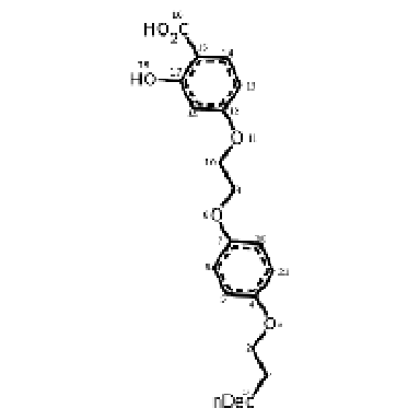 CCCCCCCCCCCCOc1ccc(OCCOc2ccc(C(=O)O)c(O)c2)cc1